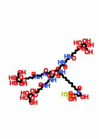 O=C(CCCCO[C@@H]1OC(CO)[C@H](O)C(O)C1O)NCCCNC(=O)CCOCC(NC(=O)CCCCCCCCCCC(=O)N1C[C@H](O)C[C@H]1COP(=O)(O)SS)(OCCC(=O)NCCCNC(=O)CCCCO[C@@H]1OC(CO)[C@H](O)C(O)C1O)OCCC(=O)NCCCNC(=O)CCCCO[C@@H]1OC(CO)[C@H](O)C(O)C1O